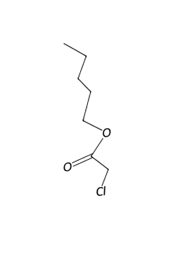 CCCCCOC(=O)CCl